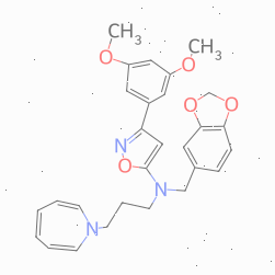 COc1cc(OC)cc(-c2cc(N(CCCN3C=CC=CC=C3)Cc3ccc4c(c3)OCO4)on2)c1